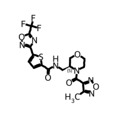 Cc1nonc1C(=O)N1CCOC[C@@H]1CNC(=O)c1ccc(-c2noc(C(F)(F)F)n2)s1